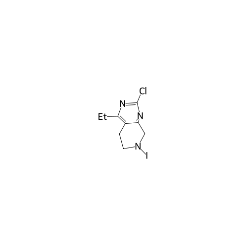 CCc1nc(Cl)nc2c1CCN(I)C2